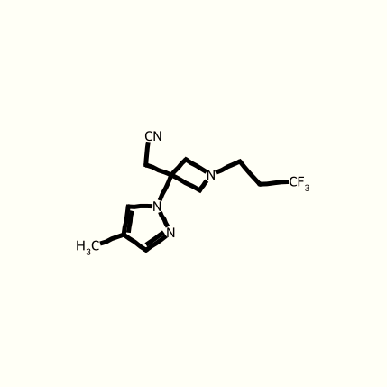 Cc1cnn(C2(CC#N)CN(CCC(F)(F)F)C2)c1